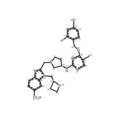 O=C(O)c1ccc2nc(CN3CC[C@@H](Nc4ncc(F)c(OCc5ccc(Cl)cc5F)n4)C3)n(C[C@@H]3CCO3)c2c1